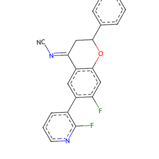 N#C/N=C1\CC(c2ccccc2)Oc2cc(F)c(-c3cccnc3F)cc21